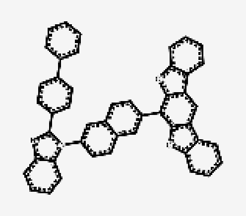 c1ccc(-c2ccc(-c3nc4ccccc4n3-c3ccc4cc(-c5c6oc7ccccc7c6cc6c5oc5ccccc56)ccc4c3)cc2)cc1